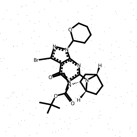 CCN(C(=O)OC(C)(C)C)[C@@H]1C[C@@H]2CC[C@H]1N2c1nc2c(c(Br)nn2C2CCCCO2)c(=O)n1C